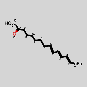 CCCCC=CC=CC=CCCCCCCC(=O)C(=O)O